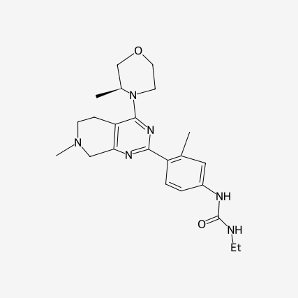 CCNC(=O)Nc1ccc(-c2nc3c(c(N4CCOC[C@@H]4C)n2)CCN(C)C3)c(C)c1